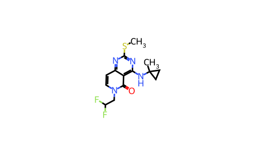 CSc1nc(NC2(C)CC2)c2c(=O)n(CC(F)F)ccc2n1